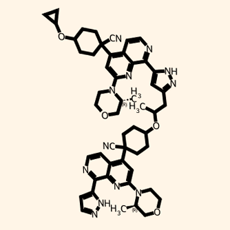 CC(Cc1cc(-c2nccc3c(C4(C#N)CCC(OC5CC5)CC4)cc(N4CCOC[C@H]4C)nc23)[nH]n1)OC1CCC(C#N)(c2cc(N3CCOC[C@H]3C)nc3c(-c4ccn[nH]4)nccc23)CC1